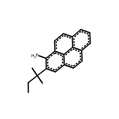 CCC(C)(C)c1cc2ccc3cccc4ccc(c1P)c2c34